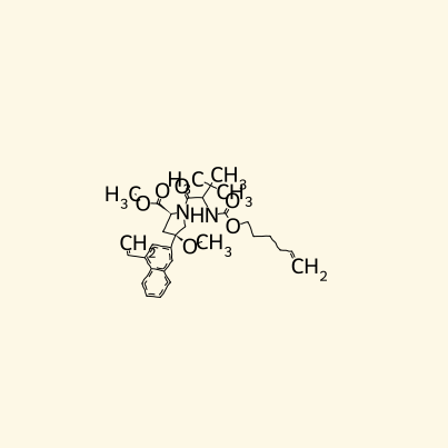 C=CCCCCOC(=O)NC(C(=O)N1C[C@](OC)(c2cc(C=C)c3ccccc3c2)C[C@H]1C(=O)OC)C(C)(C)C